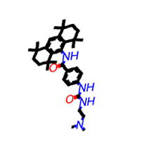 CN(C)CCNC(=O)Nc1ccc(C(=O)Nc2c3c(cc4c2C(C)(C)CCC4(C)C)C(C)(C)CCC3(C)C)cc1